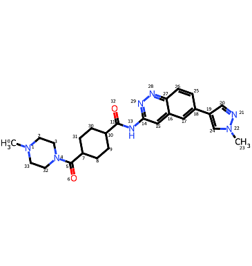 CN1CCN(C(=O)C2CCC(C(=O)Nc3cc4cc(-c5cnn(C)c5)ccc4nn3)CC2)CC1